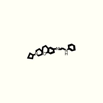 c1ccc(NCCNc2ccc3c(c2)CCC2(CCN(C4CCC4)CC2)O3)cc1